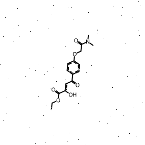 CCOC(=O)/C(O)=C/C(=O)c1ccc(OCC(=O)N(C)C)cc1